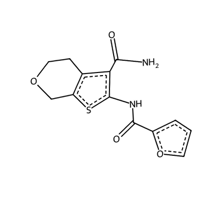 NC(=O)c1c(NC(=O)c2ccco2)sc2c1CCOC2